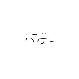 CC(C)C1(c2ccc(C(=O)O)c(F)c2)NC(=O)NC1=O